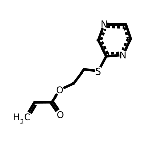 C=CC(=O)OCCSc1cnccn1